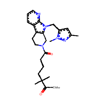 COC(=O)C(C)(C)CCCC(=O)N1CCc2c(n(Cc3cc(C)nn3C)c3ncccc23)C1